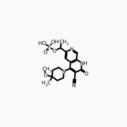 COC1(C)CCN(c2c(C#N)c(=O)[nH]c3cnc(C(C)OP(=O)(O)O)cc23)CC1